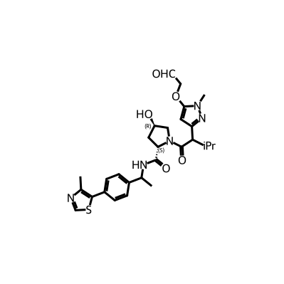 Cc1ncsc1-c1ccc(C(C)NC(=O)[C@@H]2C[C@@H](O)CN2C(=O)C(c2cc(OCC=O)n(C)n2)C(C)C)cc1